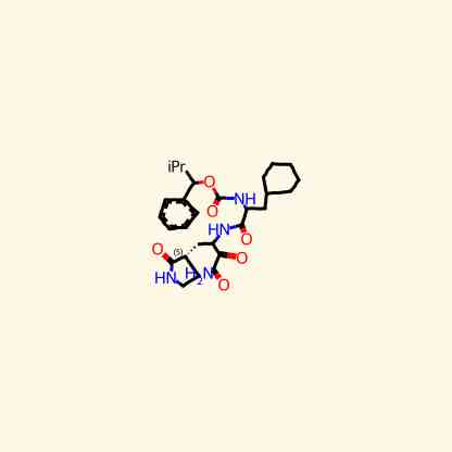 CC(C)C(OC(=O)NC(CC1CCCCC1)C(=O)NC(C[C@@H]1CCNC1=O)C(=O)C(N)=O)c1ccccc1